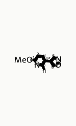 COc1ccc(-c2cnoc2)c(C)n1